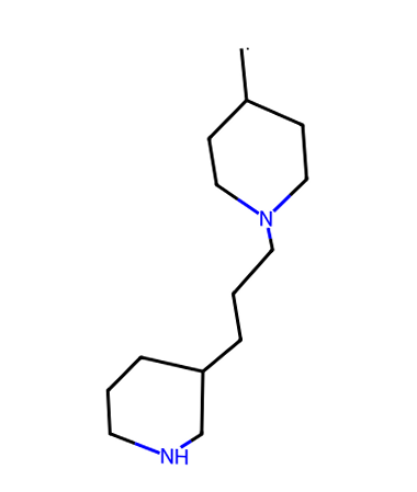 [CH2]C1CCN(CCCC2CCCNC2)CC1